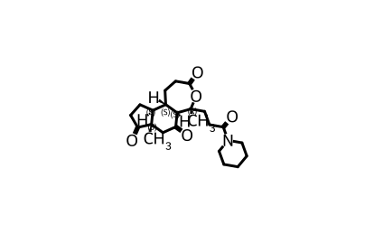 C[C@]1(CCC(=O)N2CCCCC2)OC(=O)CC[C@@H]2[C@@H]1C(=O)C[C@]1(C)C(=O)CC[C@@H]21